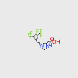 O=C(O)c1cc2n(n1)CCCN(CCCc1cc(C(F)(F)F)cc(C(F)(F)F)c1)C2